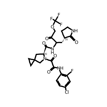 O=C(Nc1ccc(Cl)cc1F)C(=O)N1CC2(CC2)C[C@H]1C(=O)NC(C[C@@H]1CCNC1=O)C(=O)COC(F)(F)F